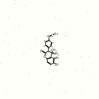 CCc1ccc2c(c1CC)C(C)(N)C(c1ccc(N=C=S)cc1)C(=O)O2